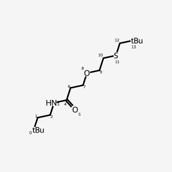 CC(C)(C)CCNC(=O)CCOCCSCC(C)(C)C